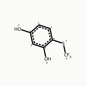 Oc1ccc(SC(F)(F)F)c(O)c1